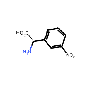 N[C@H](C(=O)O)c1cccc([N+](=O)[O-])c1